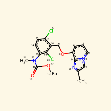 Cc1cn2cccc(OCc3c(Cl)ccc(N(C)C(=O)OC(C)(C)C)c3Cl)c2n1